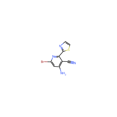 N#Cc1c(N)cc(Br)nc1-c1nccs1